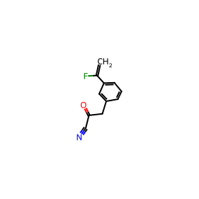 C=C(F)c1cccc(CC(=O)C#N)c1